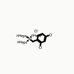 CCCCCCC[N+](CCCCCCC)(CCCCCCC)Cc1ccc(Cl)cc1Cl.[Cl-]